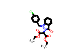 CCOC(=O)C(C(=O)OCC)N1C([O])c2ccccc2N1Cc1ccc(Cl)cc1